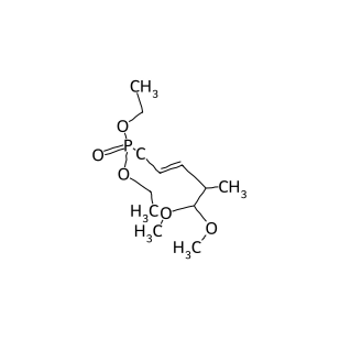 CCOP(=O)(CC=CC(C)C(OC)OC)OCC